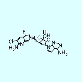 CC1(O)C(CCc2cc(F)c3cc(Cl)c(N)nc3c2)=CC(n2ccc3c(N)ncnc32)C1O